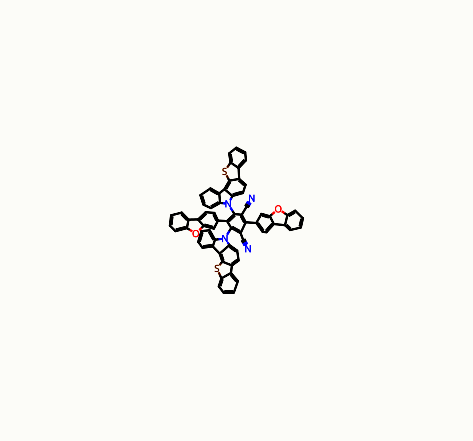 N#Cc1c(-c2ccc3c(c2)oc2ccccc23)c(C#N)c(-n2c3ccccc3c3c4sc5ccccc5c4ccc32)c(-c2ccc3c(c2)oc2ccccc23)c1-n1c2ccccc2c2c3sc4ccccc4c3ccc21